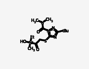 CC[N+](C)(O)C(=O)CSc1nc(C(C)(C)C)nn1C(=O)N(C)C